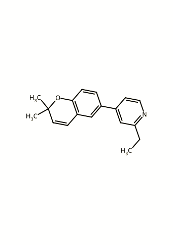 CCc1cc(-c2ccc3c(c2)C=CC(C)(C)O3)ccn1